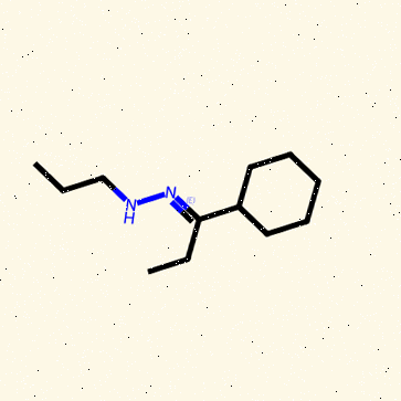 CCCN/N=C(\CC)C1CCCCC1